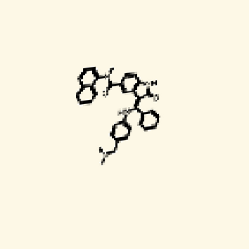 CN(C)Cc1ccc(NC(=C2C(=O)Nc3ccc(C(=O)N(C)c4cccc5ccccc45)cc32)c2ccccc2)cc1